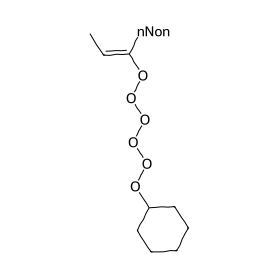 CC=C(CCCCCCCCC)OOOOOOC1CCCCC1